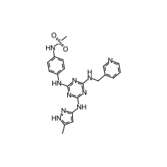 Cc1cc(Nc2nc(NCc3cccnc3)nc(Nc3ccc(NS(C)(=O)=O)cc3)n2)n[nH]1